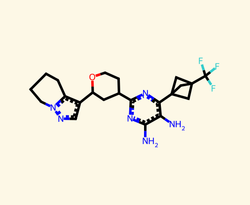 Nc1nc(C2CCOC(c3cnn4c3CCCC4)C2)nc(C23CC(C(F)(F)F)(C2)C3)c1N